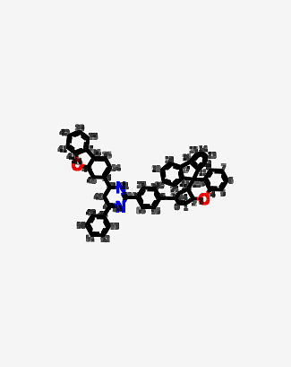 C1=CC2Oc3ccccc3C3(c4ccccc4-c4ccccc43)C2CC1c1ccc(C2=NC(C3=CC=C4c5ccccc5OC4C3)CC(c3ccccc3)=N2)cc1